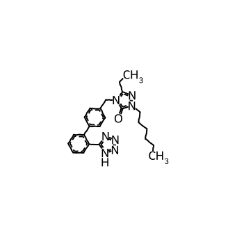 CCCCCCn1nc(CC)n(Cc2ccc(-c3ccccc3-c3nnn[nH]3)cc2)c1=O